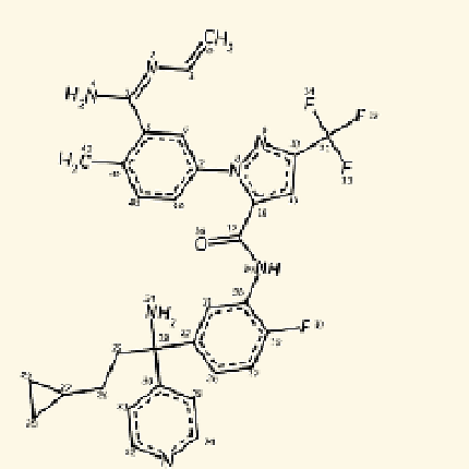 C=C/N=C(/N)c1cc(-n2nc(C(F)(F)F)cc2C(=O)Nc2cc(C(N)(CCC3CC3)c3ccncc3)ccc2F)ccc1C